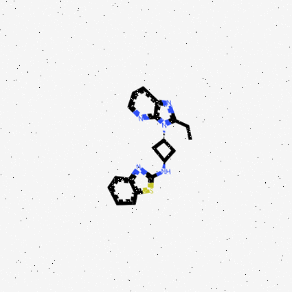 CCc1nc2cccnc2n1[C@H]1C[C@H](Nc2nc3ccccc3s2)C1